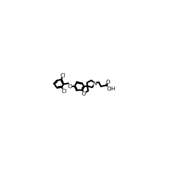 O=C(O)CCN1CCC2(COc3cc(OCc4c(Cl)cccc4Cl)ccc32)C1